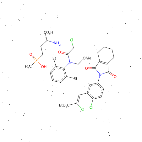 CCOC(=O)/C(Cl)=C/c1cc(N2C(=O)C3=C(CCCC3)C2=O)ccc1Cl.CCc1cccc(CC)c1N(COC)C(=O)CCl.CP(=O)(O)CCC(N)C(=O)O